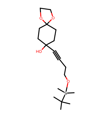 CC(C)(C)[Si](C)(C)OCCC#CC1(O)CCC2(CC1)OCCO2